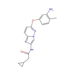 Cc1ccc(Oc2ccc3nc(NC(=O)CC4CC4)cn3n2)cc1N